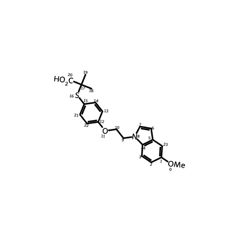 COc1ccc2c(ccn2CCOc2ccc(SC(C)(C)C(=O)O)cc2)c1